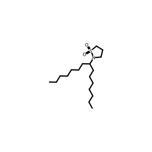 CCCCCCCC(CCCCCCC)N1CCCS1(=O)=O